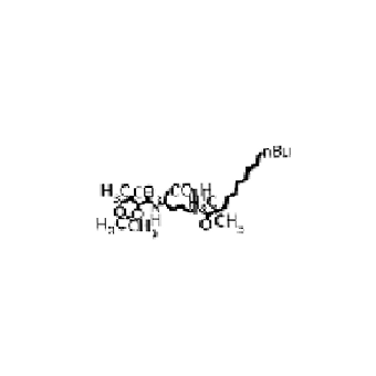 CCCCC=CCCCCCCC(C)(C)C(=O)NCCCC(CC(=O)O)NC(=O)C1OC(C)(C)OCC1(C)C